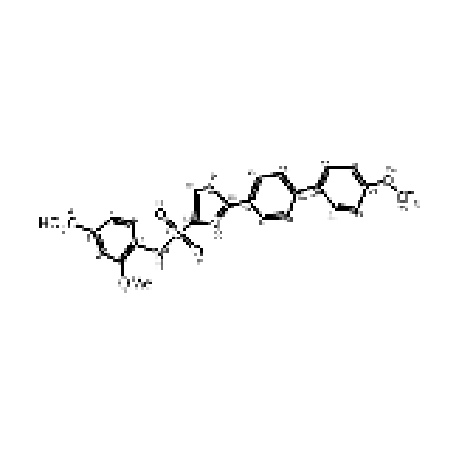 COc1cc(C(=O)O)ccc1NS(=O)(=O)c1csc(-c2ccc(-c3ccc(OC(F)(F)F)cc3)cc2)n1